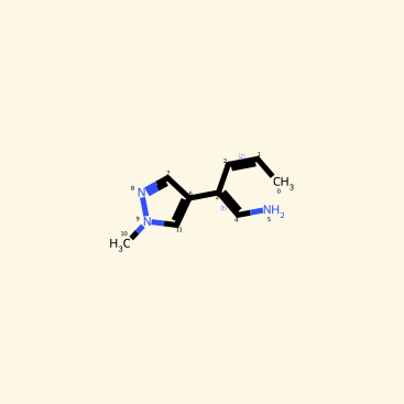 C/C=C\C(=C/N)c1cnn(C)c1